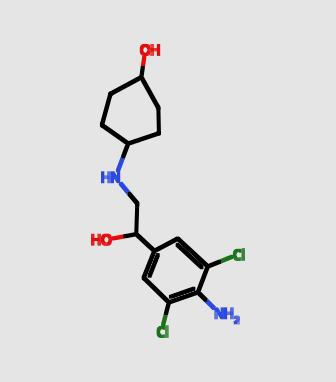 Nc1c(Cl)cc(C(O)CNC2CCC(O)CC2)cc1Cl